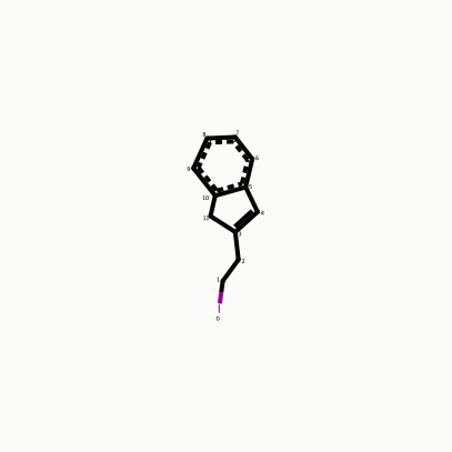 ICCC1=Cc2ccccc2C1